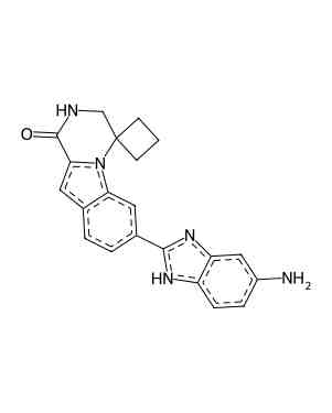 Nc1ccc2[nH]c(-c3ccc4cc5n(c4c3)C3(CCC3)CNC5=O)nc2c1